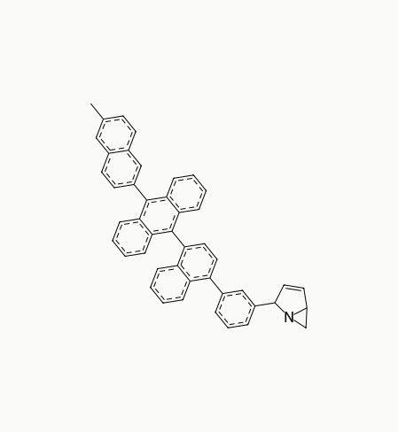 Cc1ccc2cc(-c3c4ccccc4c(-c4ccc(-c5cccc(C6C=CC7CN76)c5)c5ccccc45)c4ccccc34)ccc2c1